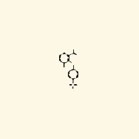 COC(=O)c1cccc(C(F)(F)F)c1Oc1ccc(S(N)(=O)=O)cc1